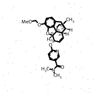 COCOc1ccc2c3c1O[C@H]1[C@@H](Oc4ccc(C(=O)N(C)C)cn4)C=C[C@H]4[C@@H](C2)N(C)CC[C@@]341